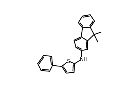 CC1(C)c2ccccc2-c2ccc(Nc3ccc(-c4ccccc4)s3)cc21